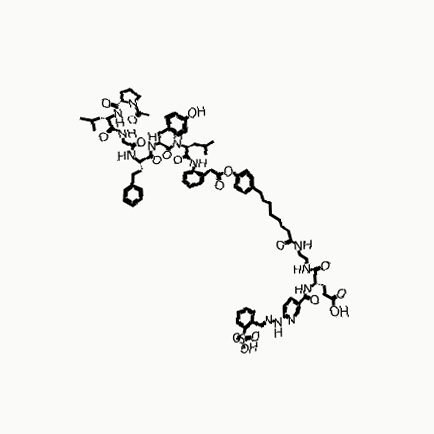 CC(=O)N1CCC[C@H]1C(=O)N[C@@H](CC(C)C)C(=O)NCC(=O)N[C@@H](CCc1ccccc1)C(=O)N[C@@H](Cc1ccc(O)cc1)C(=O)N[C@@H](CC(C)C)C(=O)Nc1ccccc1CC(=O)Oc1ccc(CCCCCCCC(=O)NCCNC(=O)[C@H](CCC(=O)O)NC(=O)c2ccc(N/N=C/c3ccccc3S(=O)(=O)O)nc2)cc1